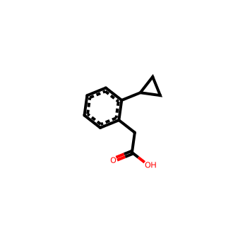 O=C(O)Cc1ccccc1C1CC1